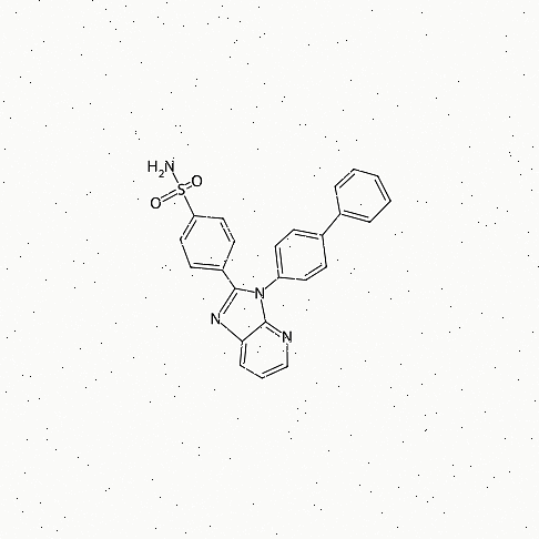 NS(=O)(=O)c1ccc(-c2nc3cccnc3n2-c2ccc(-c3ccccc3)cc2)cc1